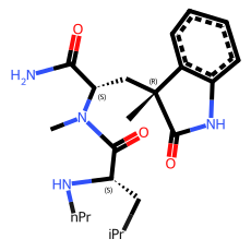 CCCN[C@@H](CC(C)C)C(=O)N(C)[C@@H](C[C@@]1(C)C(=O)Nc2ccccc21)C(N)=O